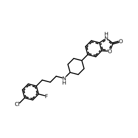 O=c1[nH]c2ccc(C3CCC(NCCCc4ccc(Cl)cc4F)CC3)cc2o1